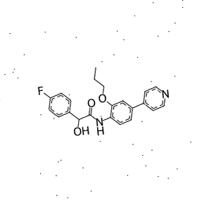 CCCOc1cc(-c2ccncc2)ccc1NC(=O)C(O)c1ccc(F)cc1